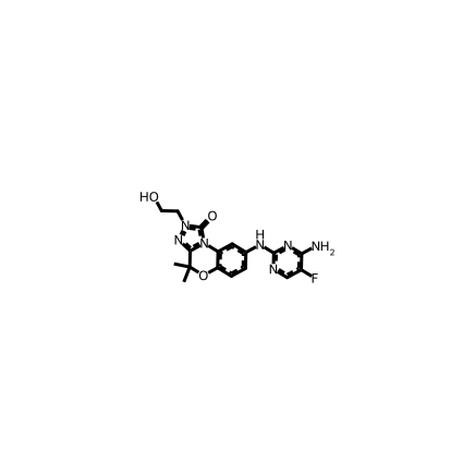 CC1(C)Oc2ccc(Nc3ncc(F)c(N)n3)cc2-n2c1nn(CCO)c2=O